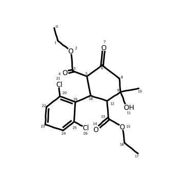 CCOC(=O)C1C(=O)CC(C)(O)C(C(=O)OCC)C1c1c(Cl)cccc1Cl